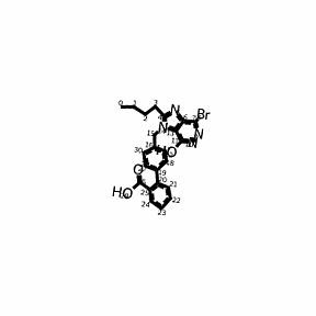 CCCCc1nc2c(Br)nnc(O)c2n1Cc1ccc(-c2ccccc2C(=O)O)cc1